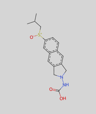 CC(C)C[S+]([O-])c1ccc2cc3c(cc2c1)CN(NC(=O)O)C3